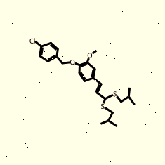 COc1cc(/C=C/C(SCC(C)C)SCC(C)C)ccc1OCc1ccc(Cl)cc1